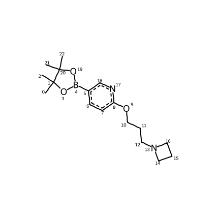 CC1(C)OB(c2ccc(OCCCN3CCC3)nc2)OC1(C)C